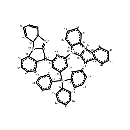 C1=CC2N=C3N(c4cc([Si](c5ccccc5)(c5ccccc5)c5ccccc5)cc(-n5c6ccccc6n6c7ccccc7nc56)n4)c4ccccc4N3C2C=C1